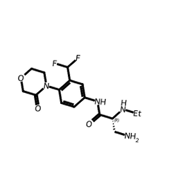 CCN[C@H](CN)C(=O)Nc1ccc(N2CCOCC2=O)c(C(F)F)c1